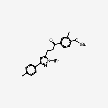 Cc1ccc(-c2cc(CCC(=O)c3ccc(OC(C)(C)C)c(C)c3)n(C(C)C)n2)cc1